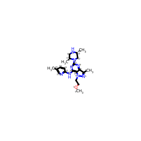 COCCn1nc(C)c2nc(N3C[C@@H](C)NC[C@@H]3C)nc(Nc3ccc(C)cn3)c21